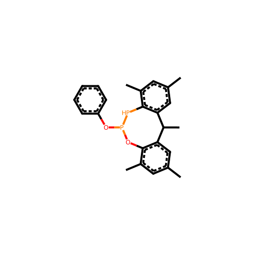 Cc1cc(C)c2c(c1)C(C)c1cc(C)cc(C)c1PP(Oc1ccccc1)O2